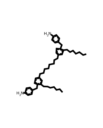 CCCCCCCc1cc(CCCCCCCCc2ccc(Cc3ccc(N)cc3)c(CCCCCCC)c2)ccc1Cc1ccc(N)cc1